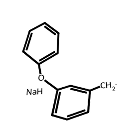 [CH2]c1cccc(Oc2ccccc2)c1.[NaH]